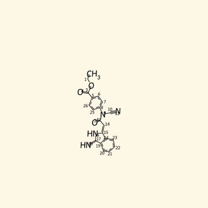 CCOC(=O)c1ccc(N(C#N)C(=O)C=C2NC(=N)c3ccccc32)cc1